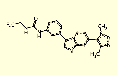 Cc1ncn(C)c1-c1ccn2c(-c3cccc(NC(=O)NCC(F)(F)F)c3)cnc2c1